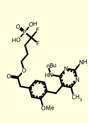 CCCCNc1nc(N)nc(C)c1Cc1ccc(CC(=O)OCCCC(F)(F)P(=O)(O)O)cc1OC